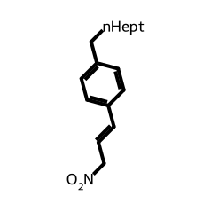 CCCCCCCCc1ccc(C=CC[N+](=O)[O-])cc1